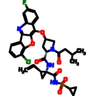 C=C[C@@H]1C[C@]1(NC(=O)[C@@H]1C[C@@H](Oc2c3ccc(F)cc3nc3c2oc2c(Cl)cccc23)CN1C(=O)CC(C)C)C(=O)NS(=O)(=O)C1CC1